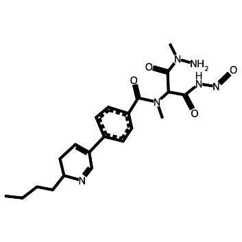 CCCCC1CC=C(c2ccc(C(=O)N(C)C(C(=O)NN=O)C(=O)N(C)N)cc2)C=N1